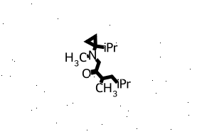 CC(C)CC(C)C(=O)CN(C)C1(C(C)C)CC1